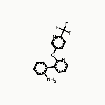 Nc1ccccc1-c1cccnc1Oc1ccc(C(F)(F)F)nc1